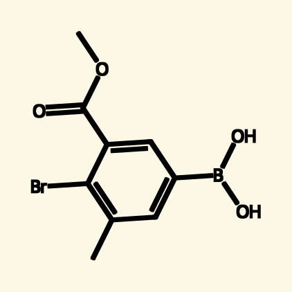 COC(=O)c1cc(B(O)O)cc(C)c1Br